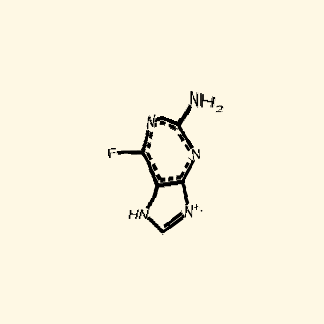 Nc1nc(F)c2c(n1)[N+]=CN2